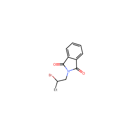 CCC(Br)CN1C(=O)c2ccccc2C1=O